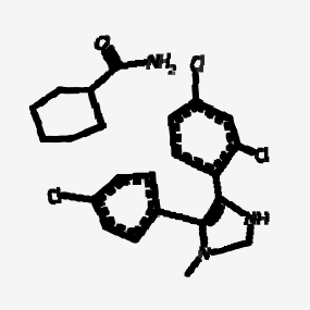 CN1CNC(c2ccc(Cl)cc2Cl)=C1c1ccc(Cl)cc1.NC(=O)C1CCCCC1